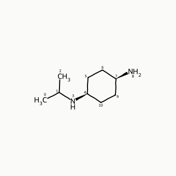 CC(C)N[C@H]1CC[C@@H](N)CC1